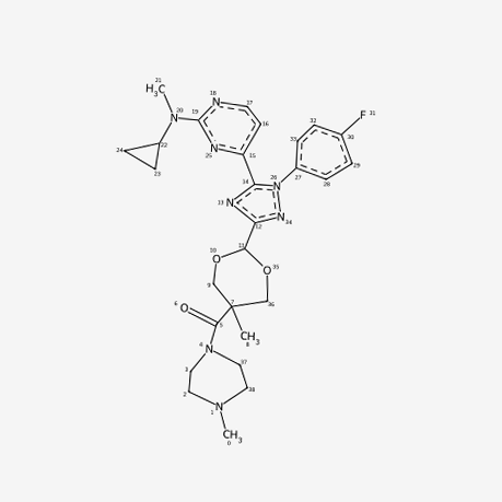 CN1CCN(C(=O)C2(C)COC(c3nc(-c4ccnc(N(C)C5CC5)n4)n(-c4ccc(F)cc4)n3)OC2)CC1